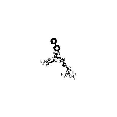 CC(C)(C)OC(=O)N1CC(S(=O)(=O)CC2OC(CS(N)(=O)=O)=NN2c2nc3ccc(-c4ccccc4)cc3s2)C1